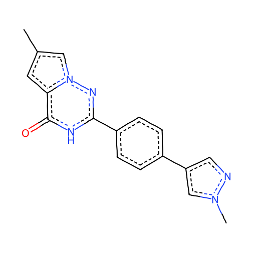 Cc1cc2c(=O)[nH]c(-c3ccc(-c4cnn(C)c4)cc3)nn2c1